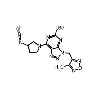 Cc1nonc1Cn1nnc2c(N3CCC(N=[N+]=[N-])C3)nc(C(C)(C)C)nc21